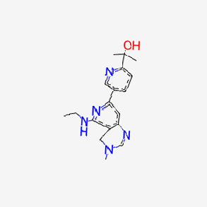 CCNc1nc(-c2ccc(C(C)(C)O)nc2)cc2c1CN(C)C=N2